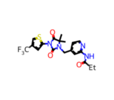 CCC(=O)Nc1cc(CN2C(=O)N(c3cc(C(F)(F)F)cs3)C(=O)C2(C)C)ccn1